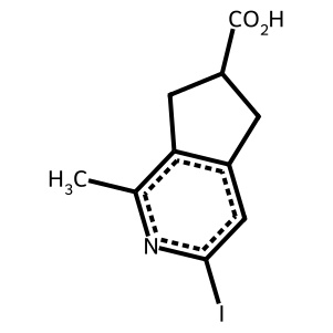 Cc1nc(I)cc2c1CC(C(=O)O)C2